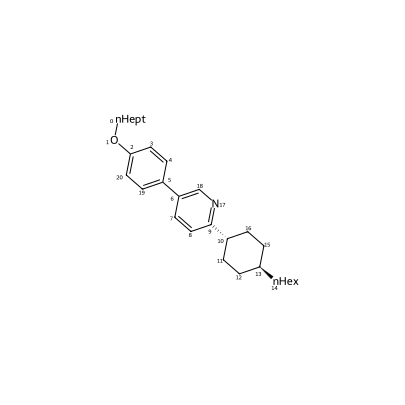 CCCCCCCOc1ccc(-c2ccc([C@H]3CC[C@H](CCCCCC)CC3)nc2)cc1